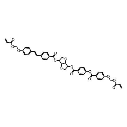 C=CC(=O)OCOc1ccc(/C=C/c2ccc(C(=O)OC3COC4C(OC(=O)c5ccc(OC(=O)c6ccc(OCOC(=O)C=C)cc6)cc5)COC34)cc2)cc1